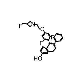 Oc1ccc2c(c1)CC[C@H](c1ccccc1)[C@@H]2c1c(F)cc(OCCN2CC(CF)C2)cc1F